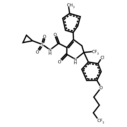 Cc1ccc(C2=C(C(=O)NS(=O)(=O)C3CC3)C(=O)NC(c3ccc(OCCCC(F)(F)F)cc3Cl)(C(F)(F)F)C2)cc1